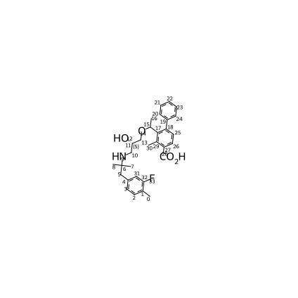 Cc1ccc(CC(C)(C)NC[C@H](O)COC(C)c2c(-c3ccccc3)ccc(C(=O)O)c2C)cc1F